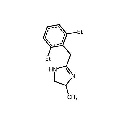 CCc1cccc(CC)c1CC1=NC(C)CN1